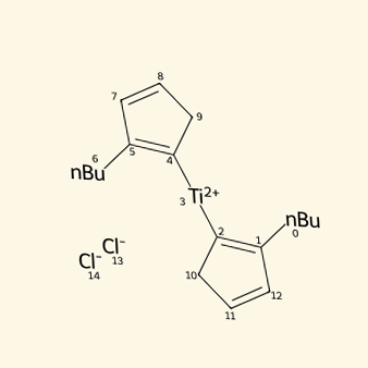 CCCCC1=[C]([Ti+2][C]2=C(CCCC)C=CC2)CC=C1.[Cl-].[Cl-]